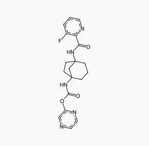 O=C(NC12CCCC(NC(=O)c3ncccc3F)(CC1)C2)Oc1cnccn1